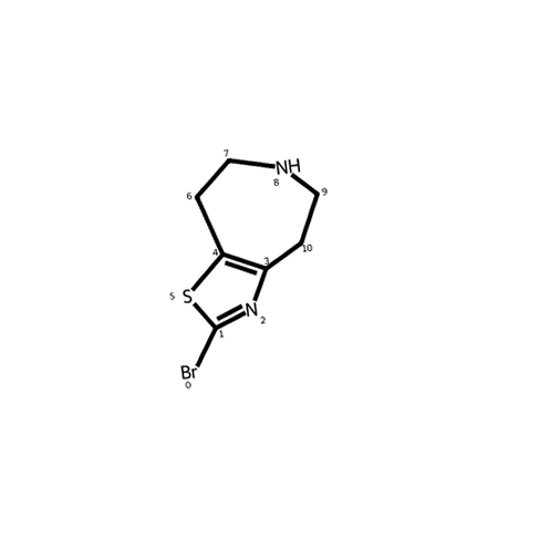 Brc1nc2c(s1)CCNCC2